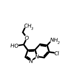 CCOC(O)c1cnn2cc(Cl)c(N)cc12